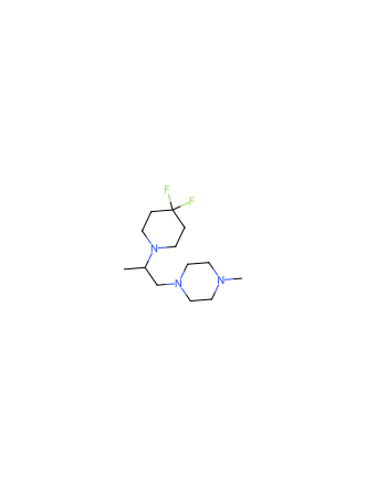 CC(CN1CCN(C)CC1)N1CCC(F)(F)CC1